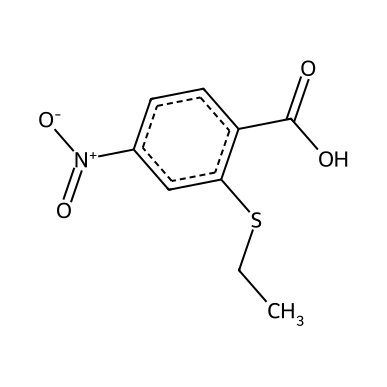 CCSc1cc([N+](=O)[O-])ccc1C(=O)O